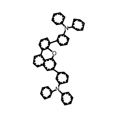 c1ccc(N(c2ccccc2)c2cccc(-c3cc4c5c(cccc5c3)-c3cccc(-c5cccc(N(c6ccccc6)c6ccccc6)c5)c3O4)c2)cc1